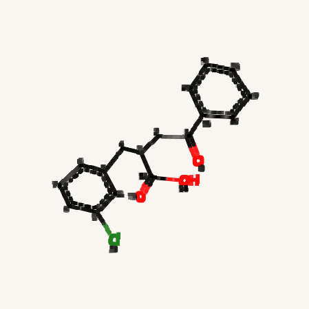 O=C(CC(Cc1cccc(Cl)c1)C(=O)O)c1ccccc1